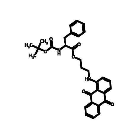 CC(C)(C)OC(=O)N[C@@H](Cc1ccccc1)C(=O)OCCCNc1cccc2c1C(=O)c1ccccc1C2=O